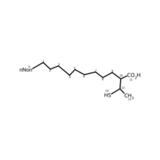 CCCCCCCCCCCCCCCCCCC(C(=O)O)C(C)S